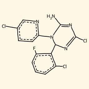 NC1=NC(Cl)=NC(c2c(F)cccc2Cl)N1c1ccc(Cl)cn1